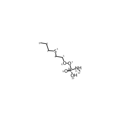 CCCSCCOOP(=O)(O)NC